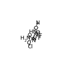 N#Cc1ccc(NC(=O)N2Cc3c(C(N)=O)c(-c4cccc(Cl)c4)nn3CC2C(F)(F)F)cc1